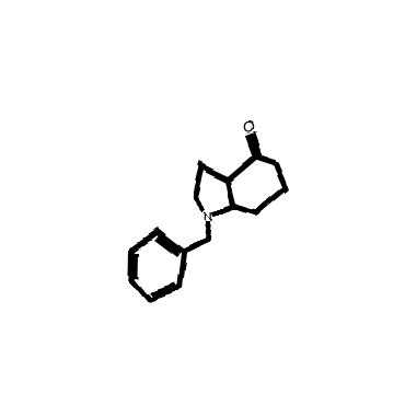 O=C1CCCC2C1CCN2Cc1ccccc1